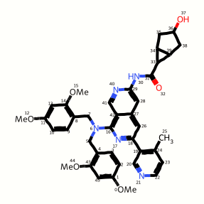 COc1ccc(CN(Cc2ccc(OC)cc2OC)c2nc(-c3cnccc3C)cc3cc(NC(=O)C4C5CC(O)CC54)ncc23)c(OC)c1